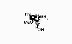 COc1cc(Br)cc2nc(N)nc(NCCO)c12